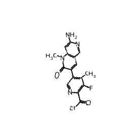 CCC(=O)c1ncc(-c2cc3cnc(N)cc3n(C)c2=O)c(C)c1F